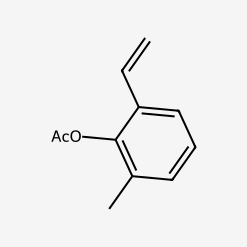 C=Cc1cccc(C)c1OC(C)=O